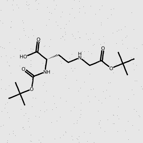 CC(C)(C)OC(=O)CNCC[C@H](NC(=O)OC(C)(C)C)C(=O)O